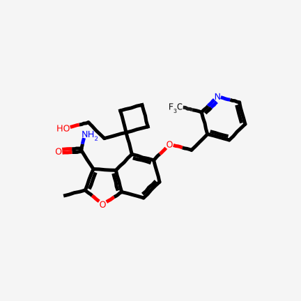 Cc1oc2ccc(OCc3cccnc3C(F)(F)F)c(C3(CCO)CCC3)c2c1C(N)=O